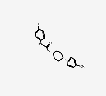 N#Cc1ccc([C@H]2CC[C@@H](CC(=O)Nc3ccc(F)cc3)CC2)cc1